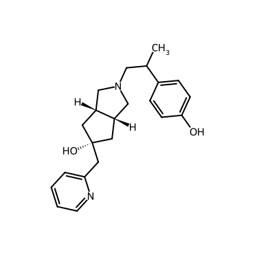 CC(CN1C[C@@H]2C[C@@](O)(Cc3ccccn3)C[C@@H]2C1)c1ccc(O)cc1